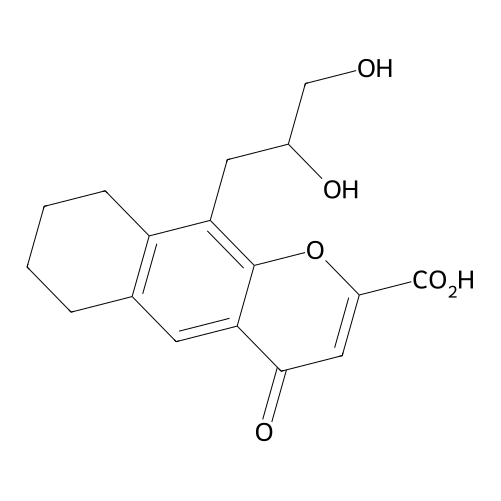 O=C(O)c1cc(=O)c2cc3c(c(CC(O)CO)c2o1)CCCC3